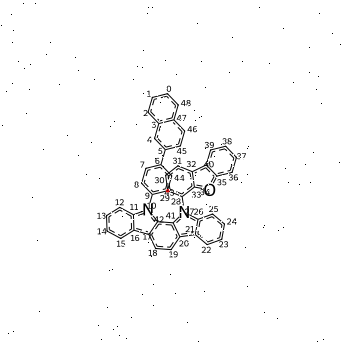 c1ccc2cc(-c3ccc(-n4c5ccccc5c5ccc6c7ccccc7n(-c7cccc8c7oc7ccccc78)c6c54)cc3)ccc2c1